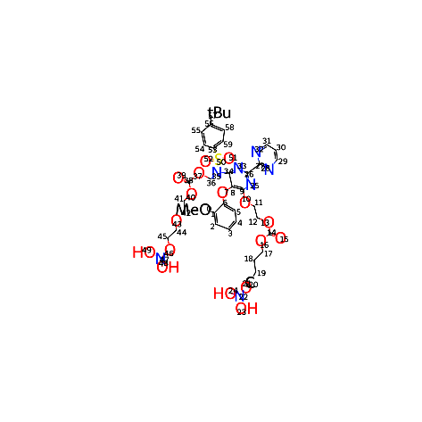 COc1ccccc1Oc1c(OCCOC(=O)OCCCCON(O)O)nc(-c2ncccn2)nc1N(COC(=O)OCCOCCON(O)O)S(=O)(=O)c1ccc(C(C)(C)C)cc1